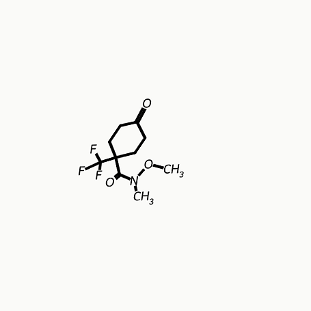 CON(C)C(=O)C1(C(F)(F)F)CCC(=O)CC1